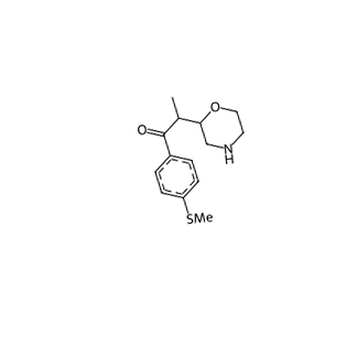 CSc1ccc(C(=O)C(C)C2CNCCO2)cc1